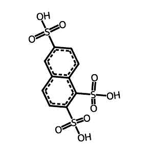 O=S(=O)(O)c1ccc2c(S(=O)(=O)O)c(S(=O)(=O)O)ccc2c1